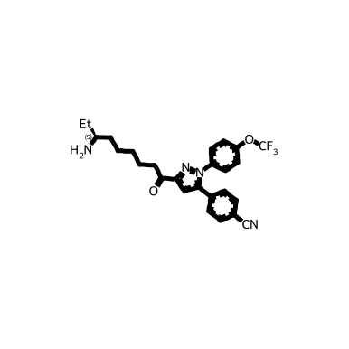 CC[C@H](N)CCCCCC(=O)c1cc(-c2ccc(C#N)cc2)n(-c2ccc(OC(F)(F)F)cc2)n1